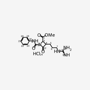 COC(=O)C1C(CCCNC(=N)N)C(=O)N1C(=O)Nc1ccccc1.Cl